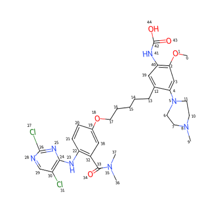 COc1cc(N2CCN(C)CC2)c(CCCCCOc2ccc(Nc3nc(Cl)ncc3Cl)c(C(=O)N(C)C)c2)cc1NC(=O)O